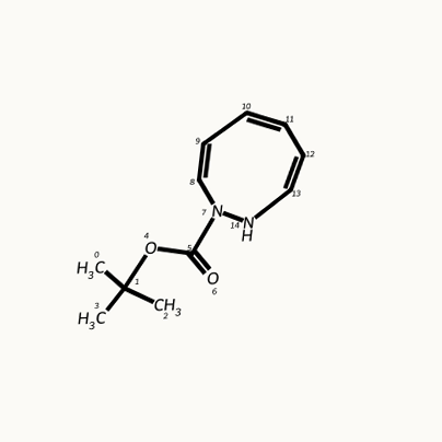 CC(C)(C)OC(=O)n1cccccc[nH]1